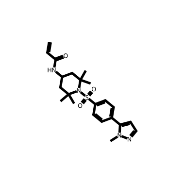 C=CC(=O)NC1CC(C)(C)N(S(=O)(=O)c2ccc(-c3ccnn3C)cc2)C(C)(C)C1